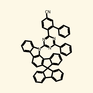 N#Cc1ccc(-c2nc(-c3ccccc3)nc(-n3c4ccccc4c4ccc5c(c43)-c3ccccc3C53c4ccccc4-c4ccccc43)n2)c(-c2ccccc2)c1